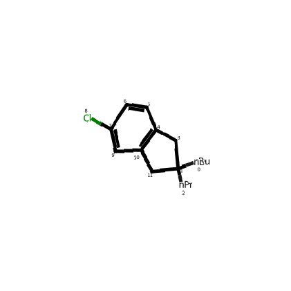 CCCCC1(CCC)Cc2ccc(Cl)cc2C1